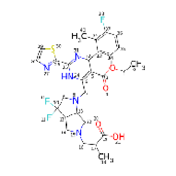 CCOC(=O)C1=C(CN2CC(F)(F)C3CN(CC(C)C(=O)O)CC32)NC(c2nccs2)=NC1c1cccc(F)c1C